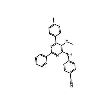 COc1c(Nc2ccc(C#N)cc2)nc(-c2ccccc2)nc1-c1ccc(C)cc1